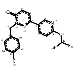 O=c1ccc(-c2ccc(OC(F)F)nc2)nn1Cc1ccc(Cl)cc1